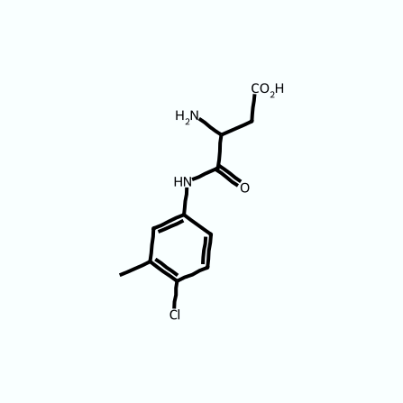 Cc1cc(NC(=O)C(N)CC(=O)O)ccc1Cl